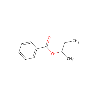 [CH2]C(CC)OC(=O)c1ccccc1